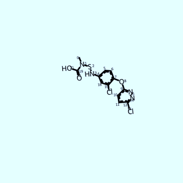 CN(SNc1ccc(Oc2ccc(Cl)nn2)c(Cl)c1)C(=O)O